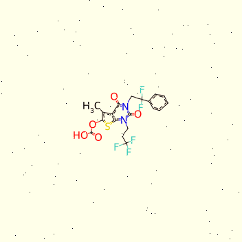 Cc1c(OC(=O)O)sc2c1c(=O)n(CC(F)(F)c1ccccc1)c(=O)n2CCC(F)(F)F